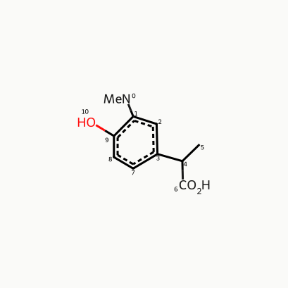 CNc1cc(C(C)C(=O)O)ccc1O